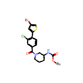 CC(C)(C)OC(=O)NC1CCCN(C(=O)c2ccc(-c3cc(Br)cs3)c(Cl)c2)C1